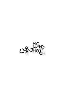 O=C(CN[C@@H]1CCN(S(=O)(=O)c2ccccc2)C1)N1CCC[C@H]1B(O)O